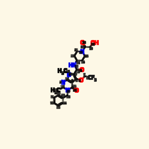 Cc1nc2c(c(OCC(F)(F)F)c(C(=O)NC3CCN(C(=O)CO)CC3)n2C)c(=O)n1Cc1ccccc1